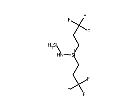 FC(F)(F)CC[SiH](CCC(F)(F)F)N[SiH3]